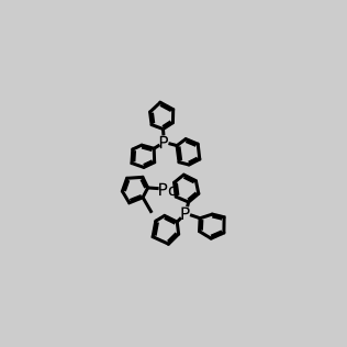 Cc1cccc[c]1[Pd].c1ccc(P(c2ccccc2)c2ccccc2)cc1.c1ccc(P(c2ccccc2)c2ccccc2)cc1